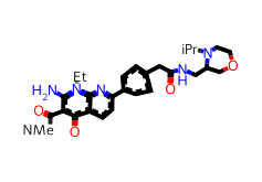 CCn1c(N)c(C(=O)NC)c(=O)c2ccc(-c3ccc(CC(=O)NCC4COCCN4C(C)C)cc3)nc21